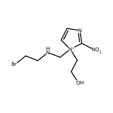 O=[N+]([O-])C1=NC=C[N+]1(CCO)CNCCBr